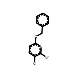 Clc1ccc(OCc2ccccc2)nc1Br